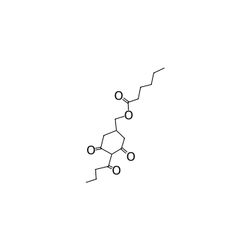 CCCCCC(=O)OCC1CC(=O)C(C(=O)CCC)C(=O)C1